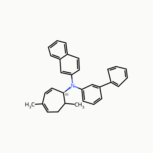 CC1=CCC(C)[C@H](N(c2cccc(-c3ccccc3)c2)c2ccc3ccccc3c2)C=C1